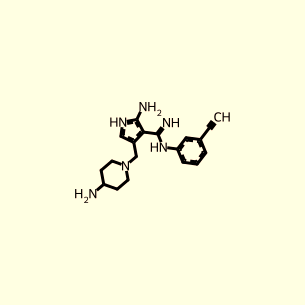 C#Cc1cccc(NC(=N)c2c(CN3CCC(N)CC3)c[nH]c2N)c1